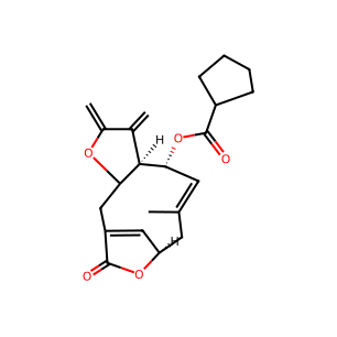 C=C1OC2CC3=C[C@@H](C/C(C)=C/[C@@H](OC(=O)C4CCCC4)[C@@H]2C1=C)OC3=O